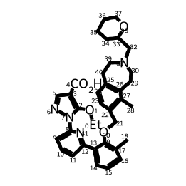 CCOc1c(C(=O)O)cnn1-c1cccc(-c2cccc(C)c2OCc2ccc3c(c2C)CCN(CC2CCCCO2)CC3)n1